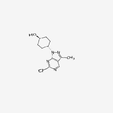 Cc1nn([C@H]2CC[C@H](O)CC2)c2nc(Cl)ncc12